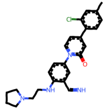 Cc1ccc(-c2ccn(-c3ccc(NCCN4CCCC4)c(C=N)c3)c(=O)c2)c(Cl)c1